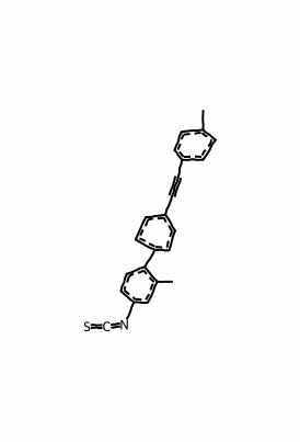 Cc1ccc(C#Cc2ccc(-c3ccc(N=C=S)cc3C)cc2)cc1